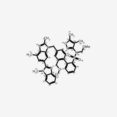 CCOCc1cc(Cn2c(C)nc3c(C)cc(-c4nc5ccccc5n4C)cc32)ccc1-c1ccccc1S(=O)(=O)N(COC)c1noc(C)c1C